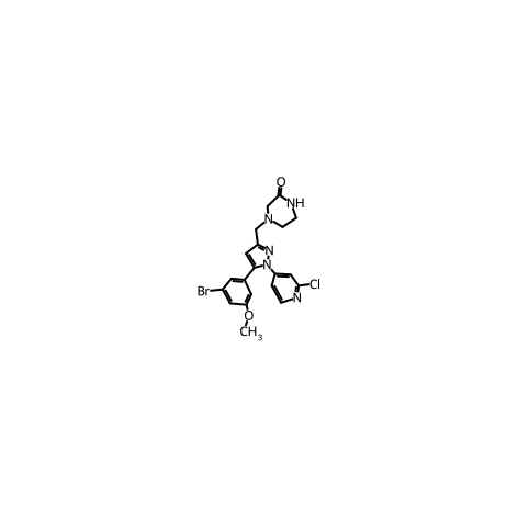 COc1cc(Br)cc(-c2cc(CN3CCNC(=O)C3)nn2-c2ccnc(Cl)c2)c1